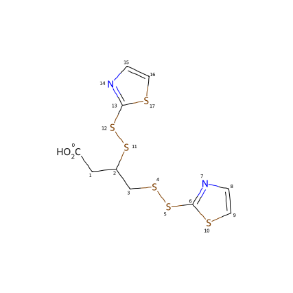 O=C(O)CC(CSSc1nccs1)SSc1nccs1